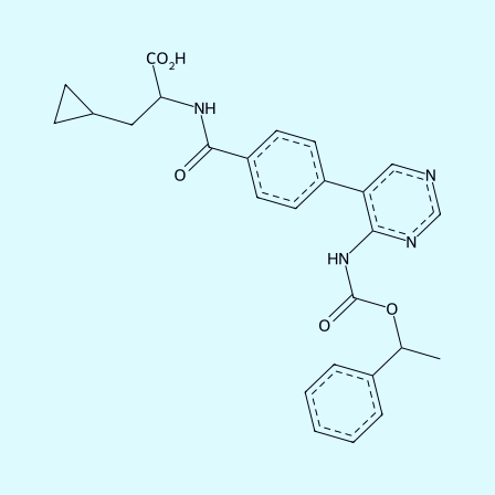 CC(OC(=O)Nc1ncncc1-c1ccc(C(=O)NC(CC2CC2)C(=O)O)cc1)c1ccccc1